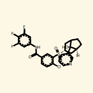 O=C(Nc1cc(F)c(F)c(F)c1)c1ccc(Cl)c(S(=O)(=O)[C@@H]2CC3CC[C@@H](C2)[C@@]3(O)c2cccnc2)c1